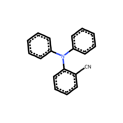 N#Cc1ccccc1N(c1ccccc1)c1ccccc1